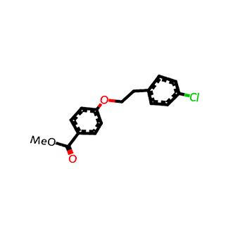 COC(=O)c1ccc(OCCc2ccc(Cl)cc2)cc1